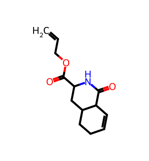 C=CCOC(=O)C1CC2CCC=CC2C(=O)N1